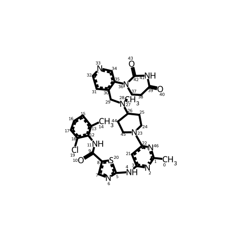 Cc1nc(Nc2ncc(C(=O)Nc3c(C)cccc3Cl)s2)cc(N2CCC(N(C)Cc3ccncc3N3CCC(=O)NC3=O)CC2)n1